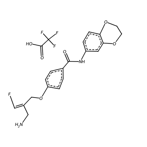 NC/C(=C/F)COc1ccc(C(=O)Nc2ccc3c(c2)OCCO3)cc1.O=C(O)C(F)(F)F